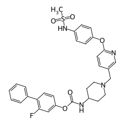 CS(=O)(=O)Nc1ccc(Oc2ccc(CN3CCC(NC(=O)Oc4ccc(-c5ccccc5)c(F)c4)CC3)cn2)cc1